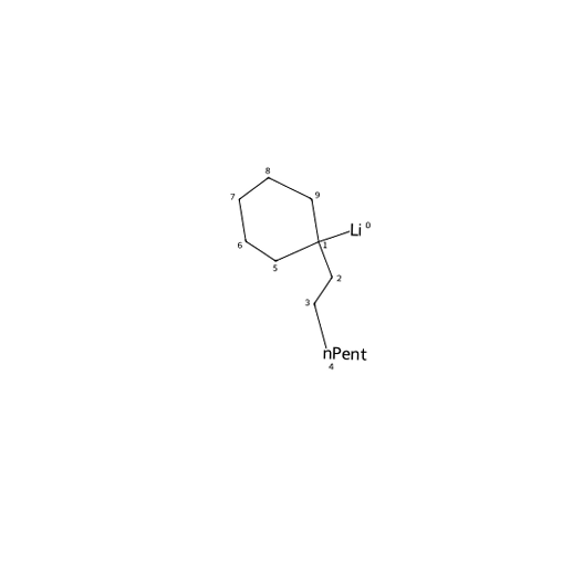 [Li][C]1(CCCCCCC)CCCCC1